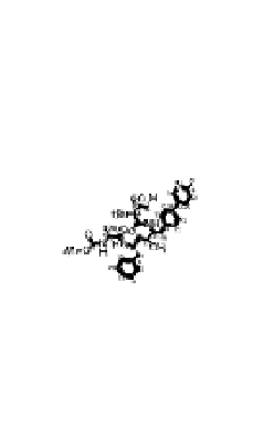 COC(=O)N[C@H](C(=O)N[C@@H](Cc1ccccc1)C[C@H](O)[C@H](Cc1ccc(-c2ccc(C)nc2)cc1)NC(=O)[C@@H](N(C)C(=O)O)C(C)(C)C)C(C)(C)C